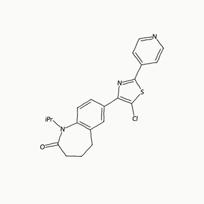 CC(C)N1C(=O)CCCc2cc(-c3nc(-c4ccncc4)sc3Cl)ccc21